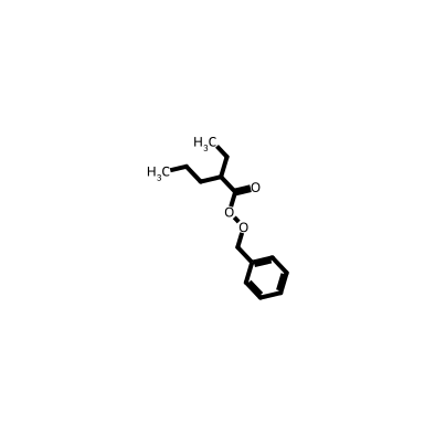 CCCC(CC)C(=O)OOCc1ccccc1